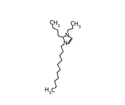 CCCCCCCCCCCN1C=CN(CCC)C1CCCC